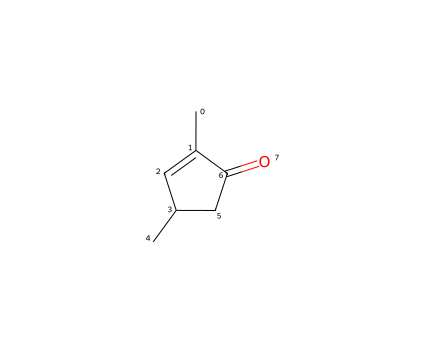 CC1=CC(C)CC1=O